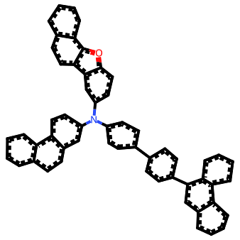 c1ccc2c(c1)ccc1cc(N(c3ccc(-c4ccc(-c5cc6ccccc6c6ccccc56)cc4)cc3)c3ccc4oc5c6ccccc6ccc5c4c3)ccc12